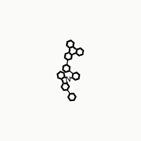 c1ccc(-c2ccc3c4ccccc4n(-c4ccccc4-c4cccc(-c5ccc6c7ccccc7c7ccccc7c6c5)c4)c3c2)cc1